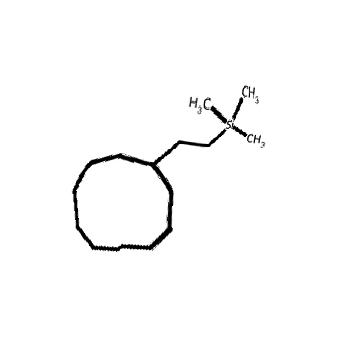 C[Si](C)(C)CCC1CCCCCCCCC1